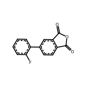 O=C1OC(=O)c2cc(-c3ccccc3F)ccc21